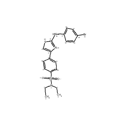 CCN(CC)S(=O)(=O)c1ccc(-c2csc(Nc3ccc(Br)cc3)n2)cc1